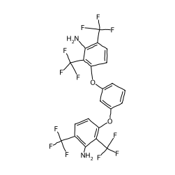 Nc1c(C(F)(F)F)ccc(Oc2cccc(Oc3ccc(C(F)(F)F)c(N)c3C(F)(F)F)c2)c1C(F)(F)F